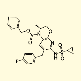 C[C@H]1COc2nc(NS(=O)(=O)C3CC3)c(Cc3ccc(F)cc3)cc2N1C(=O)OCc1ccccc1